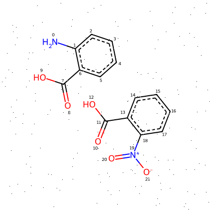 Nc1ccccc1C(=O)O.O=C(O)c1ccccc1[N+](=O)[O-]